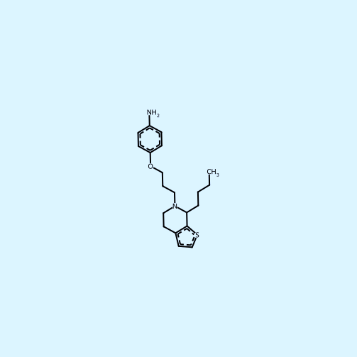 CCCCC1c2sccc2CCN1CCCOc1ccc(N)cc1